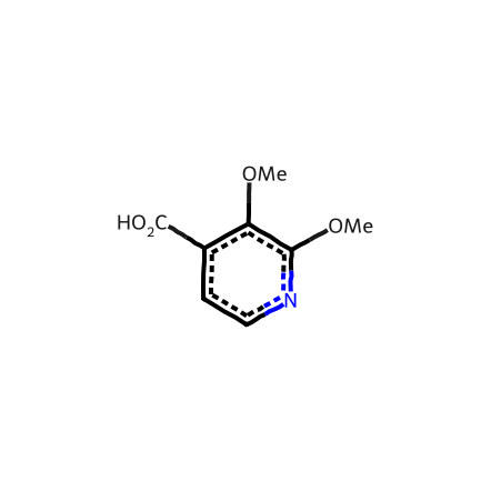 COc1nccc(C(=O)O)c1OC